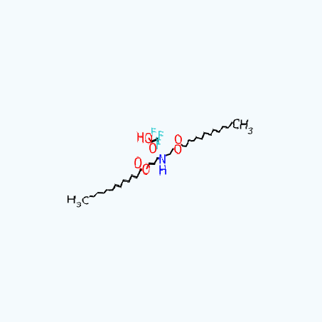 CCCCCCCCCCCCCC(=O)OCCCNCCCOC(=O)CCCCCCCCCCCCC.O=C(O)C(F)(F)F